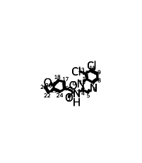 O=S(=O)(Nc1cnc2ccc(Cl)c(Cl)c2n1)c1ccc2occc2c1